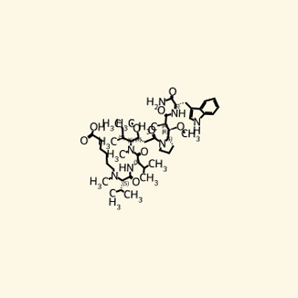 CC[C@H](C)[C@@H]([C@@H](CC(=O)N1CCC[C@H]1[C@H](OC)[C@@H](C)C(=O)N[C@@H](Cc1c[nH]c2ccccc12)C(N)=O)OC)N(C)C(=O)[C@@H](NC(=O)[C@H](C(C)C)N(C)CCCCCC(=O)O)C(C)C